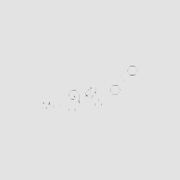 COC(=O)c1cccc(-c2cnc(C(=O)C3Cc4ccc(OCc5ccccc5)cc4C3)o2)n1